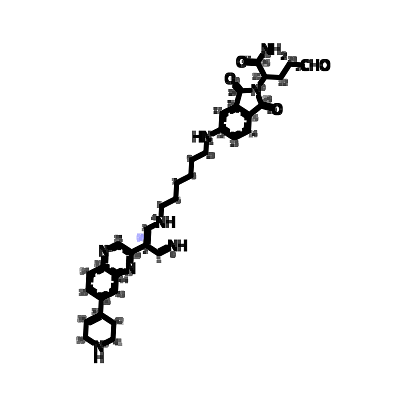 N=C/C(=C\NCCCCCCNc1ccc2c(c1)C(=O)N(C(CCC=O)C(N)=O)C2=O)c1cnc2ccc(C3=CCNCC3)cc2n1